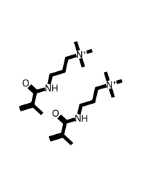 C=C(C)C(=O)NCCC[N+](C)(C)C.C=C(C)C(=O)NCCC[N+](C)(C)C